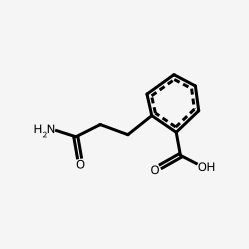 NC(=O)CCc1ccccc1C(=O)O